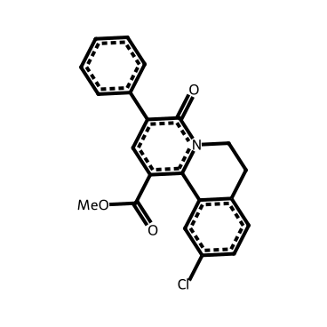 COC(=O)c1cc(-c2ccccc2)c(=O)n2c1-c1cc(Cl)ccc1CC2